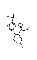 COC(=O)C1CC(F)CCC1c1coc(C(C)(C)C)n1